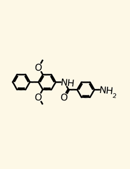 COc1cc(NC(=O)c2ccc(N)cc2)cc(OC)c1-c1ccccc1